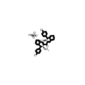 NN1C(C(=O)C2=Cc3ccccc3C(c3ccc(Cl)cc3)N2N)=Cc2ccccc2C1c1ccc(Cl)cc1.[O-][Cl+3]([O-])([O-])O